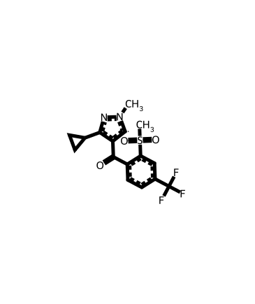 Cn1[c]c(C(=O)c2ccc(C(F)(F)F)cc2S(C)(=O)=O)c(C2CC2)n1